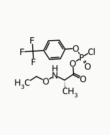 CCON[C@@H](C)C(=O)OP(=O)(Cl)Oc1ccc(C(F)(F)F)cc1